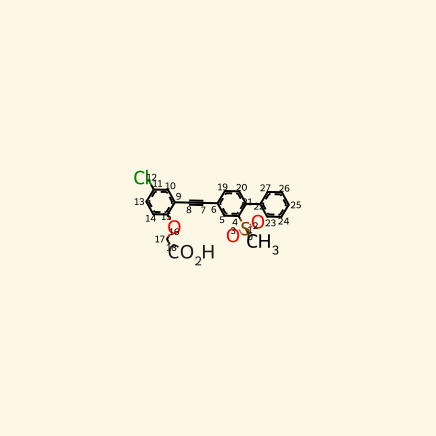 CS(=O)(=O)c1cc(C#Cc2cc(Cl)ccc2OCC(=O)O)ccc1-c1ccccc1